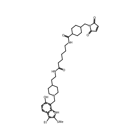 CCc1c(SC)[nH]c2c(CN3CCC(CCNC(=O)CCCCCNC(=O)C4CCC(CN5C(=O)C=CC5=O)CC4)CC3)c(O)ccc12